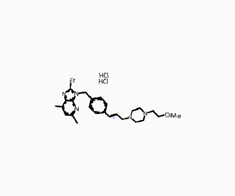 CCc1nc2c(C)cc(C)nc2n1Cc1ccc(/C=C/CN2CCN(CCOC)CC2)cc1.Cl.Cl